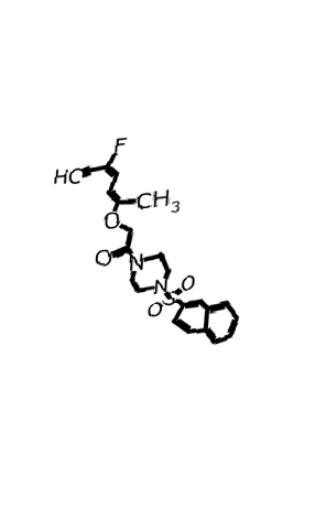 C#C/C(F)=C\C=C(/C)OCC(=O)N1CCN(S(=O)(=O)c2ccc3ccccc3c2)CC1